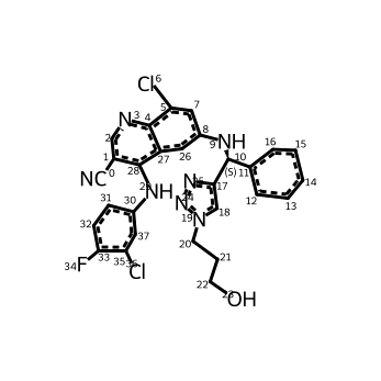 N#Cc1cnc2c(Cl)cc(N[C@@H](c3ccccc3)c3cn(CCCO)nn3)cc2c1Nc1ccc(F)c(Cl)c1